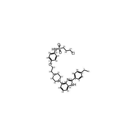 CCc1ccc(-c2nc3c(N4CCN(CCOc5ccc(NS(=O)(=O)CCCCl)cc5)CC4)cccc3[nH]2)cc1